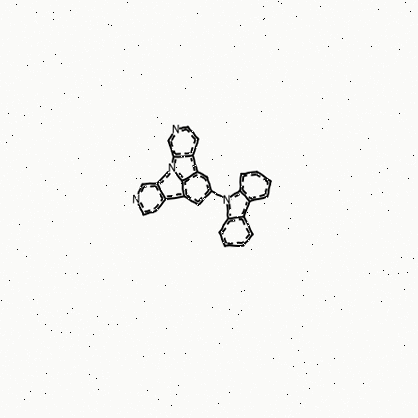 c1ccc2c(c1)c1ccccc1n2-c1cc2c3ccncc3n3c4cnccc4c(c1)c23